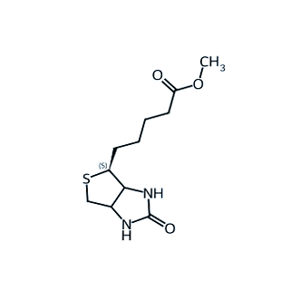 COC(=O)CCCC[C@@H]1SCC2NC(=O)NC21